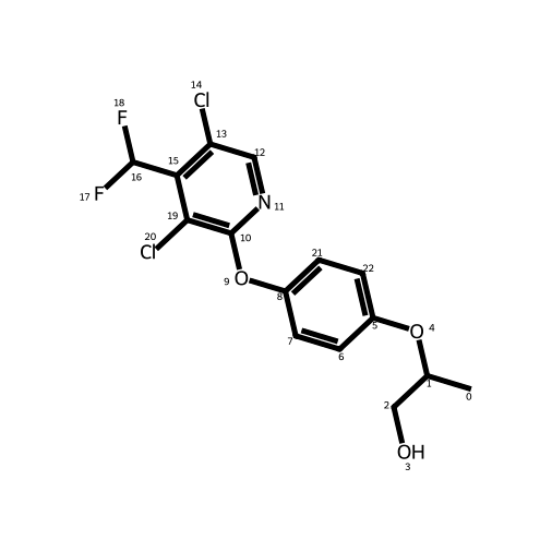 CC(CO)Oc1ccc(Oc2ncc(Cl)c(C(F)F)c2Cl)cc1